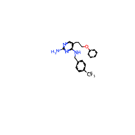 Nc1ncc(CCOc2ccccc2)c(NCc2ccc(C(F)(F)F)cc2)n1